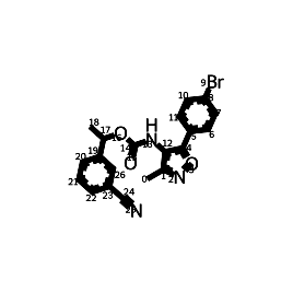 Cc1noc(-c2ccc(Br)cc2)c1NC(=O)OC(C)c1cccc(C#N)c1